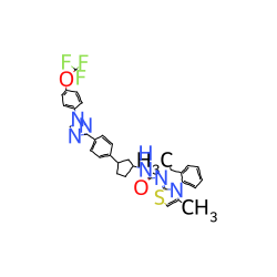 CCc1ccccc1-n1c(C)cs/c1=N\C(=O)NC1CCC(c2ccc(-c3ncn(-c4ccc(OC(F)(F)F)cc4)n3)cc2)C1